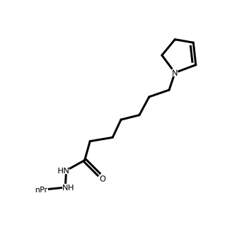 CCCNNC(=O)CCCCCCN1C=CCC1